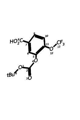 CC(C)(C)OC(=O)Oc1cc(C(=O)O)ccc1OC(F)(F)F